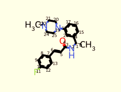 C[C@H](NC(=O)/C=C/c1ccc(F)cc1)c1cccc(N2CCN(C)CC2)c1